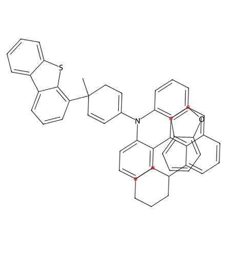 CC1(c2cccc3c2sc2ccccc23)C=CC(N(c2ccccc2-c2cccc3cccc(C4CCCCC4)c23)c2cccc3oc4ccccc4c23)=CC1